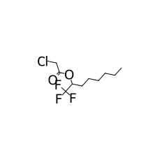 CCCCCCC(OC(=O)CCl)C(F)(F)F